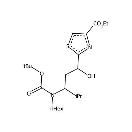 CCCCCCN(C(=O)OC(C)(C)C)C(CC(O)c1nc(C(=O)OCC)cs1)C(C)C